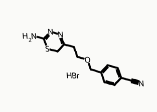 Br.N#Cc1ccc(COCCC2=NN=C(N)SC2)cc1